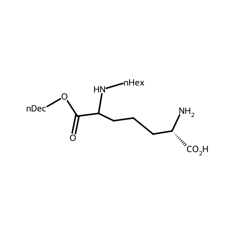 CCCCCCCCCCOC(=O)C(CCC[C@H](N)C(=O)O)NCCCCCC